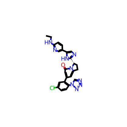 CCNc1ccc(-c2cnc([C@@H]3CCc4cc(-c5cc(Cl)ccc5-n5cnnn5)cc(=O)n43)[nH]2)cn1